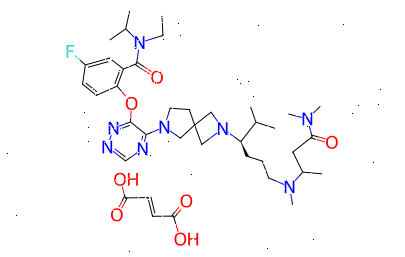 CCN(C(=O)c1cc(F)ccc1Oc1nncnc1N1CCC2(C1)CN([C@H](CCCN(C)C(C)CC(=O)N(C)C)C(C)C)C2)C(C)C.O=C(O)/C=C/C(=O)O